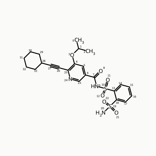 CC(C)Oc1cc(C(=O)NS(=O)(=O)c2ccccc2S(N)(=O)=O)cnc1C#CC1CCCCC1